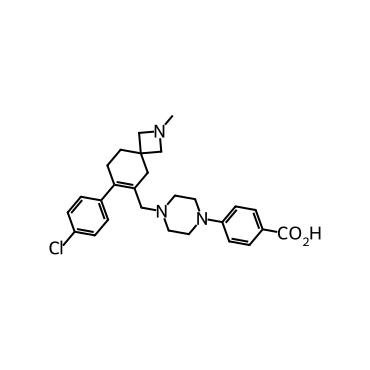 CN1CC2(CCC(c3ccc(Cl)cc3)=C(CN3CCN(c4ccc(C(=O)O)cc4)CC3)C2)C1